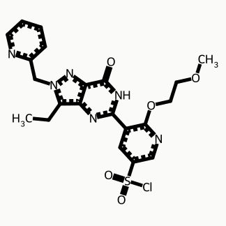 CCc1c2nc(-c3cc(S(=O)(=O)Cl)cnc3OCCOC)[nH]c(=O)c2nn1Cc1ccccn1